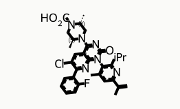 C=C(C)c1cc(C)c(-n2c(=O)nc(N3C[C@@H](C)N(C(=O)O)C[C@@H]3C)c3cc(Cl)c(-c4ccccc4F)nc32)c(C(C)C)n1